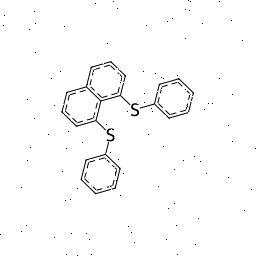 c1ccc(Sc2cccc3cccc(Sc4ccccc4)c23)cc1